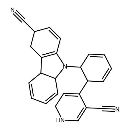 N#CC1=CNCC=C1C1C=CC=CC1N1C2=C(CC(C#N)C=C2)C2C=CC=CC21